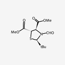 COC(=O)[C@H]1S[C@H](C(C)(C)C)N(C=O)[C@@H]1C(=O)OC